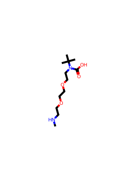 CNCCOCCOCCN(C(=O)O)C(C)(C)C